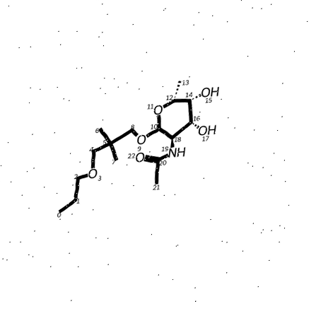 CCCOCC(C)(C)COC1O[C@H](C)[C@H](O)[C@H](O)[C@H]1NC(C)=O